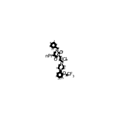 CCCc1cn(Cc2ccccc2)c(=O)n(CCCN2CCN(c3ccccc3OCC(F)(F)F)CC2)c1=O.Cl